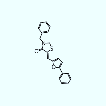 O=C1C(=Cc2ccc(-c3ccccc3)o2)SCN1Cc1ccccc1